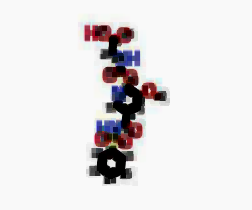 COc1cc(C(=O)NS(=O)(=O)c2ccccc2)cnc1OC(=O)NCC(=O)O